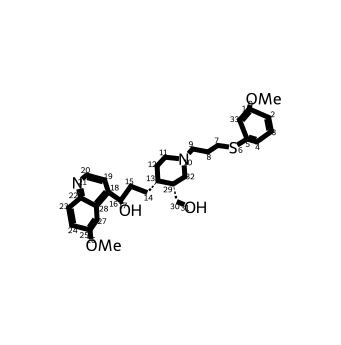 COc1cccc(SCCCN2CC[C@@H](CC[C@@H](O)c3ccnc4ccc(OC)cc34)[C@@H](CO)C2)c1